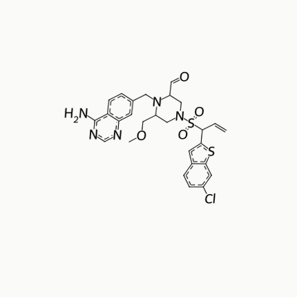 C=CC(c1cc2ccc(Cl)cc2s1)S(=O)(=O)N1CC(C=O)N(Cc2ccc3c(N)ncnc3c2)C(COC)C1